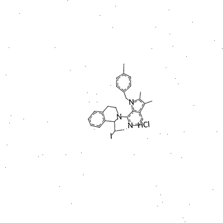 Cc1ccc(Cn2c(C)c(C)c3ccnc(N4CCc5ccccc5C4C(C)I)c32)cc1.Cl